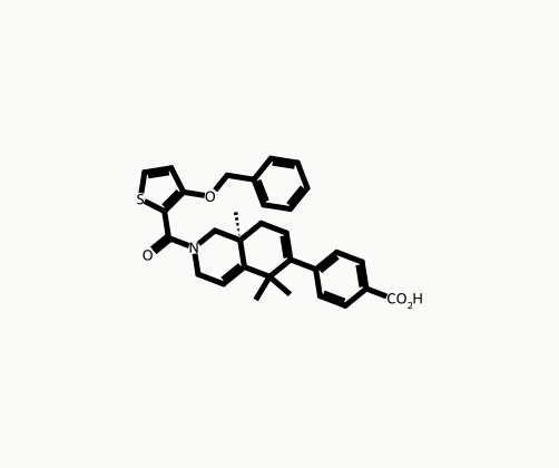 CC1(C)C(c2ccc(C(=O)O)cc2)=CC[C@]2(C)CN(C(=O)c3sccc3OCc3ccccc3)CC=C12